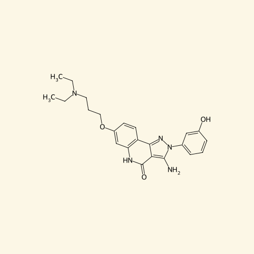 CCN(CC)CCCOc1ccc2c(c1)[nH]c(=O)c1c(N)n(-c3cccc(O)c3)nc12